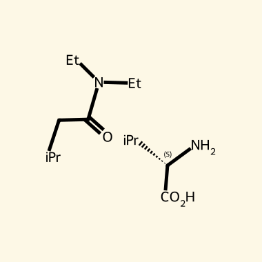 CC(C)[C@H](N)C(=O)O.CCN(CC)C(=O)CC(C)C